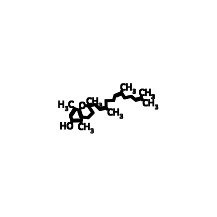 CC(C)=CCCC(C)=CCCC(C)=CCC1(C)CCc2c(C)c(O)cc(C)c2O1